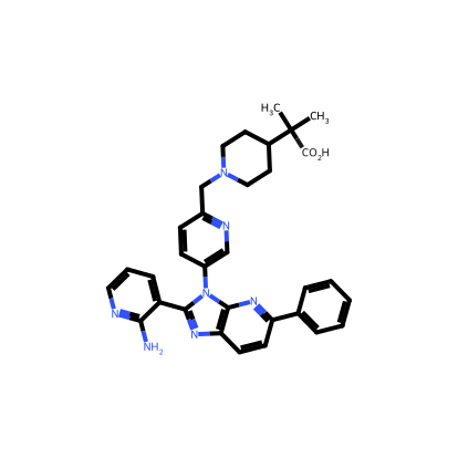 CC(C)(C(=O)O)C1CCN(Cc2ccc(-n3c(-c4cccnc4N)nc4ccc(-c5ccccc5)nc43)cn2)CC1